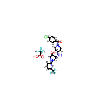 O=C(O)C(F)(F)F.O=C(c1ccc(Cl)cc1)N1CCC(N[C@@H]2CN(c3cccc(C(F)(F)F)n3)C[C@H]2O)CC1